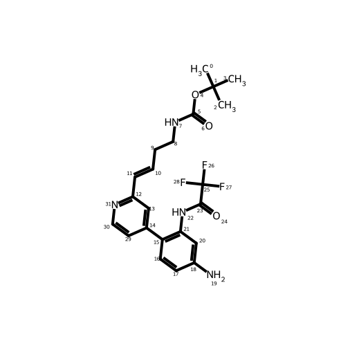 CC(C)(C)OC(=O)NCCC=Cc1cc(-c2ccc(N)cc2NC(=O)C(F)(F)F)ccn1